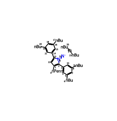 CCCCCC1=C(c2cc(CCCC)cc(CCCC)c2)[N+](=[N-])C(c2cc(CCCC)cc(CCCC)c2)=C1.CCC[CH2][Ni][CH2]CCC